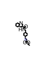 CCOC(=O)/C=C/c1ccc(CNC(=O)c2cnc3ccccc3c2)cc1